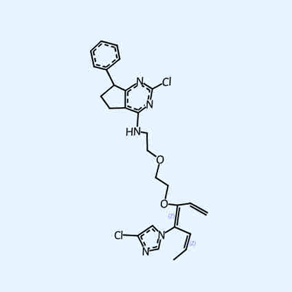 C=C/C(OCCOCCNc1nc(Cl)nc2c1CCC2c1ccccc1)=C(\C=C/C)n1cnc(Cl)c1